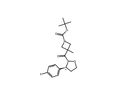 CC(C)(C)OC(=O)N1CC(C)(C(=O)N2OCC[C@H]2c2ccc(F)cc2)C1